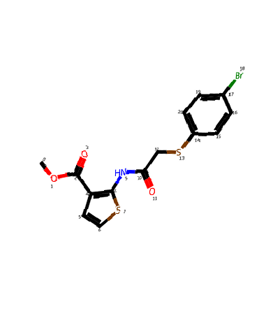 COC(=O)c1ccsc1NC(=O)CSc1ccc(Br)cc1